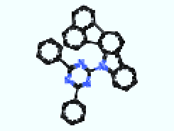 c1ccc(-c2nc(-c3ccccc3)nc(-n3c4ccccc4c4ccc5c(c43)-c3cccc4cccc-5c34)n2)cc1